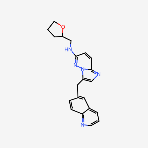 c1cnc2ccc(Cc3cnc4ccc(NCC5CCCO5)nn34)cc2c1